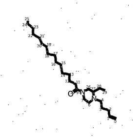 C=CCCCN1CCN(C(=O)CCCCCCCCCCCCCCC)CC1CC